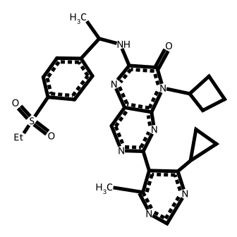 CCS(=O)(=O)c1ccc(C(C)Nc2nc3cnc(-c4c(C)ncnc4C4CC4)nc3n(C3CCC3)c2=O)cc1